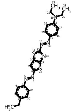 CCc1ccc(N=Nc2cc3sc(N=Nc4ccc(N(CC)CC)cc4)nc3s2)cc1